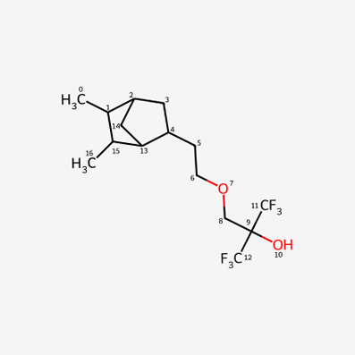 CC1C2CC(CCOCC(O)(C(F)(F)F)C(F)(F)F)C(C2)C1C